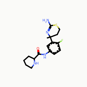 CC1(c2cc(NC(=O)C3CCCCN3)ccc2F)CCSC(N)=N1